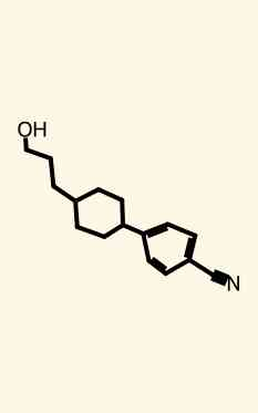 N#Cc1ccc(C2CCC(CCCO)CC2)cc1